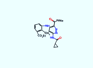 CCOC(=O)c1cccc(Nc2cc(NC(=O)C3CC3)nnc2C(=O)NC)c1C